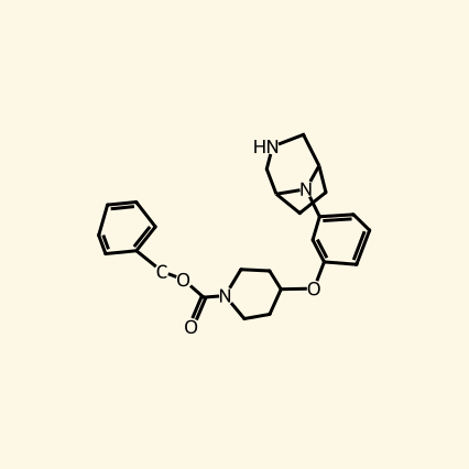 O=C(OCc1ccccc1)N1CCC(Oc2cccc(N3C4CCC3CNC4)c2)CC1